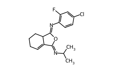 CC(C)N=C1OC(=Nc2ccc(Cl)cc2F)C2CCCC=C12